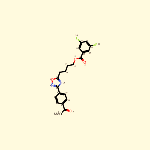 COC(=O)c1ccc(-c2noc(CCCCOC(=O)c3cc(F)cc(F)c3)n2)cc1